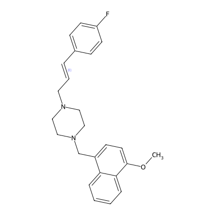 COc1ccc(CN2CCN(C/C=C/c3ccc(F)cc3)CC2)c2ccccc12